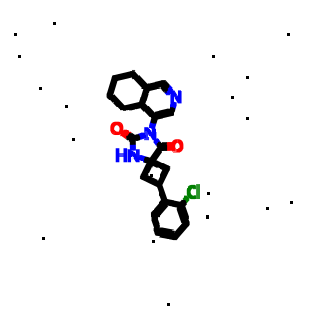 O=C1NC2(CC(c3ccccc3Cl)C2)C(=O)N1C1=CN=CC2CCCCC12